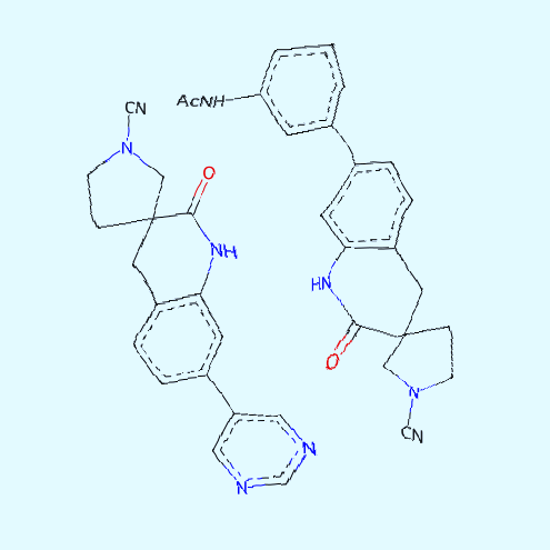 CC(=O)Nc1cccc(-c2ccc3c(c2)NC(=O)C2(CCN(C#N)C2)C3)c1.N#CN1CCC2(Cc3ccc(-c4cncnc4)cc3NC2=O)C1